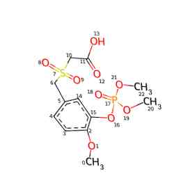 COc1ccc(CS(=O)(=O)CC(=O)O)cc1OP(=O)(OC)OC